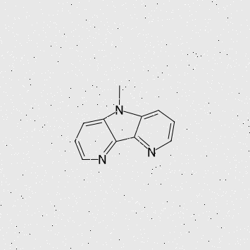 Cn1c2cccnc2c2ncccc21